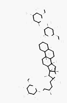 C[C@H](CC[C@@]1(O)O[C@H]2C[C@H]3[C@@H]4CC[C@@H]5C[C@@H](O[C@@H]6O[C@H](CO)[C@@H](O)[C@H](O)[C@H]6O[C@@H]6O[C@H](CO)[C@@H](O)[C@H](O)[C@H]6O)CC[C@]5(C)[C@H]4CC[C@]3(C)[C@H]2[C@@H]1C)CO[C@@H]1O[C@H](CO)[C@@H](O)[C@H](O)[C@H]1O